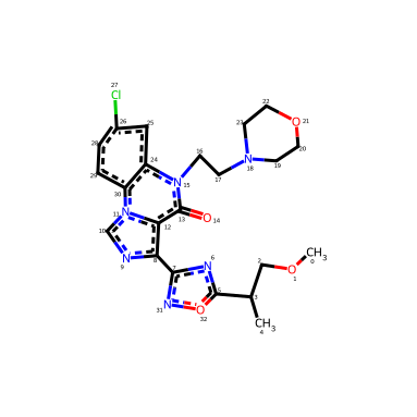 COCC(C)c1nc(-c2ncn3c2c(=O)n(CCN2CCOCC2)c2cc(Cl)ccc23)no1